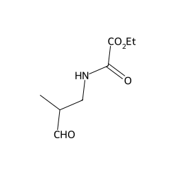 CCOC(=O)C(=O)NCC(C)C=O